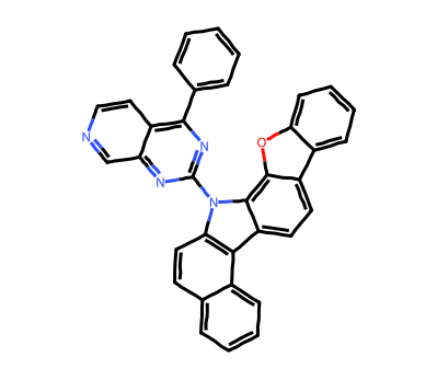 c1ccc(-c2nc(-n3c4ccc5ccccc5c4c4ccc5c6ccccc6oc5c43)nc3cnccc23)cc1